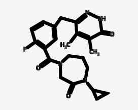 Cc1c(Cc2ccc(F)c(C(=O)N3CCCN(C4CC4)C(=O)C3)c2)n[nH]c(=O)c1C